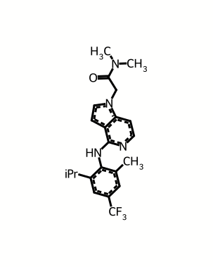 Cc1cc(C(F)(F)F)cc(C(C)C)c1Nc1nccc2c1ccn2CC(=O)N(C)C